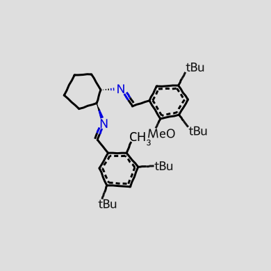 COc1c(/C=N/[C@H]2CCCC[C@@H]2/N=C/c2cc(C(C)(C)C)cc(C(C)(C)C)c2C)cc(C(C)(C)C)cc1C(C)(C)C